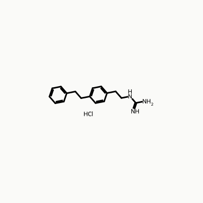 Cl.N=C(N)NCCc1ccc(CCc2ccccc2)cc1